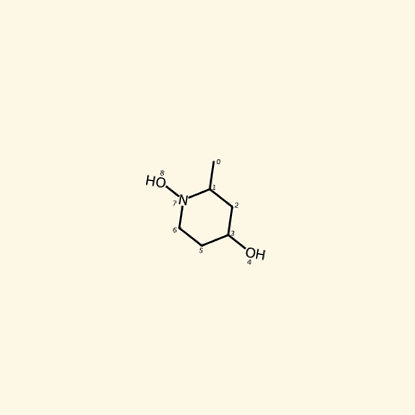 CC1CC(O)CCN1O